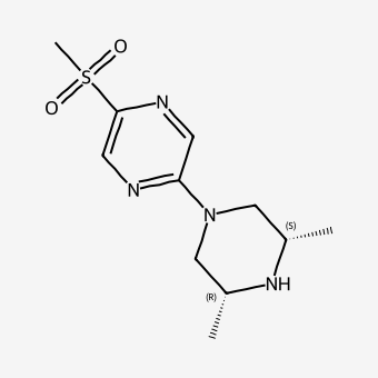 C[C@@H]1CN(c2cnc(S(C)(=O)=O)cn2)C[C@H](C)N1